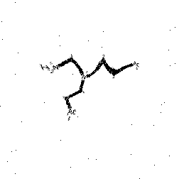 CC(=O)CCN(CN)CCC(C)=O